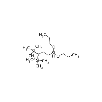 CCCO[SiH](CCN([Si](C)(C)C)[Si](C)(C)C)OCCC